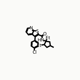 CCC1CC(C)CC1(CC)NC(=O)c1sc2ncccc2c1-c1ccc(Cl)cc1